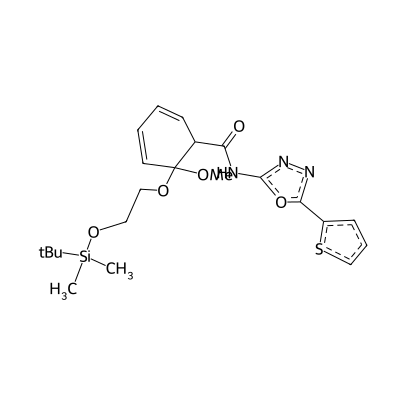 COC1(OCCO[Si](C)(C)C(C)(C)C)C=CC=CC1C(=O)Nc1nnc(-c2cccs2)o1